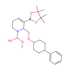 COC(O)N1CCC=C(B2OC(C)(C)C(C)(C)O2)C1COC1CCC(c2ccccc2)CC1